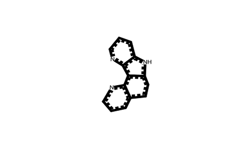 c1cnc2c(c1)ccc1[nH]c3cccnc3c12